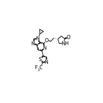 O=C1C[C@@H](CCOc2nc(-c3cnc(C(F)(F)F)s3)cc3ncn(C4CC4)c23)CN1